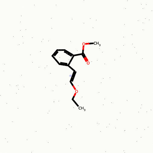 CCO/C=C/c1ccccc1C(=O)OC